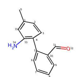 Cc1ccc(-c2ccccc2C=O)c(N)c1